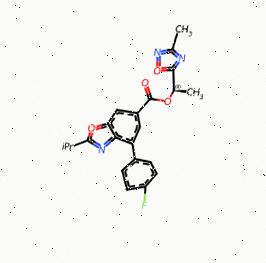 Cc1noc([C@@H](C)OC(=O)c2cc(-c3ccc(F)cc3)c3nc(C(C)C)oc3c2)n1